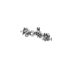 Cc1nccc(C(=O)N2CCC(N3CC(CC#N)(n4cc(-c5ncnc6[nH]ccc56)cn4)C3)CC2)c1F